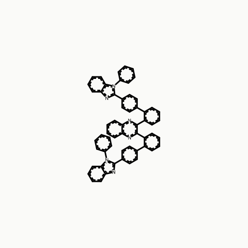 c1ccc(-n2c(-c3ccc(-c4ccccc4-c4nc5ccccc5nc4-c4ccccc4-c4ccc(-c5nc6ccccc6n5-c5ccccc5)cc4)cc3)nc3ccccc32)cc1